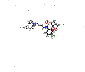 CC(C)(C)N(CCCCN1C(=O)C2CC3CCOC32c2cc(Cl)ccc21)C(=O)O